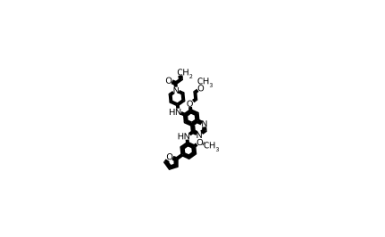 C=CC(=O)N1CCC(Nc2cc3c(Nc4cc(-c5ccco5)ccc4OC)ncnc3cc2OCCOC)CC1